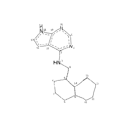 c1nc(NCC2CCCC3CCCCC32)c2cc[nH]c2n1